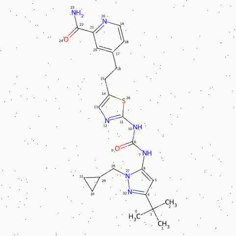 CC(C)(C)c1cc(NC(=O)Nc2ncc(CCc3ccnc(C(N)=O)c3)s2)n(CC2CC2)n1